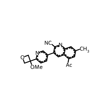 COC1(c2ccc(-c3cc4c(C(C)=O)cc(C)cc4nc3C#N)cn2)COC1